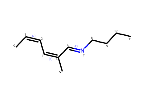 C\C=C/C=C(C)\C=N\CCCC